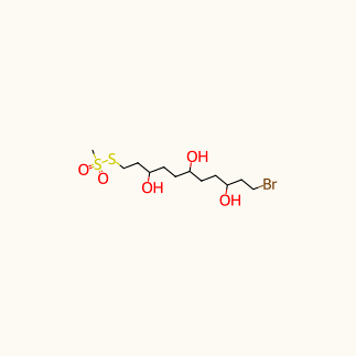 CS(=O)(=O)SCCC(O)CCC(O)CCC(O)CCBr